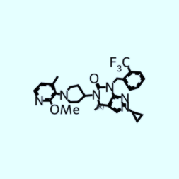 COc1nccc(C)c1N1CCC(N2C(=O)N(Cc3ccccc3C(F)(F)F)c3nn(C4CC4)cc3[C@H]2C)CC1